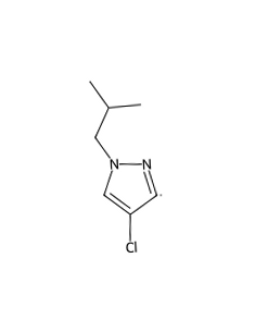 CC(C)Cn1cc(Cl)[c]n1